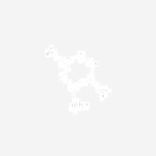 CCCCCCc1cc(C(C)C)ccc1C(C)C